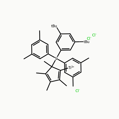 CC1=C(C)C(C)([Si](c2cc(C)cc(C)c2)(c2cc(C)cc(C)c2)c2cc(C(C)(C)C)cc(C(C)(C)C)c2)[C]([Ti+3])=C1C.[Cl-].[Cl-].[Cl-]